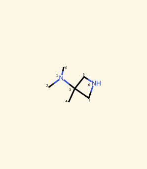 CN(C)C1(C)CNC1